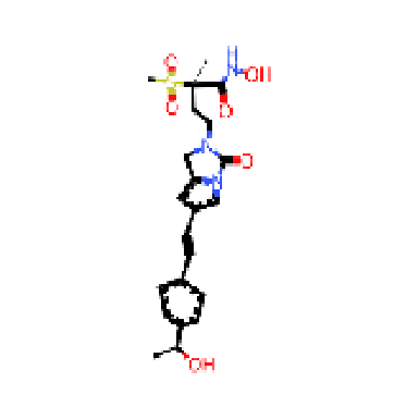 C[C@H](O)c1ccc(C#Cc2cc3n(c2)C(=O)N(CC[C@](C)(C(=O)NO)S(C)(=O)=O)C3)cc1